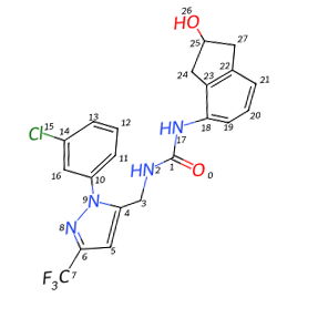 O=C(NCc1cc(C(F)(F)F)nn1-c1cccc(Cl)c1)Nc1cccc2c1CC(O)C2